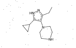 CCc1n[nH]c(C2CC2)c1N1CCNCC1